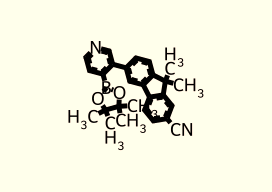 CC1(C)c2ccc(-c3cnccc3B3OC(C)(C)C(C)(C)O3)cc2-c2ccc(C#N)cc21